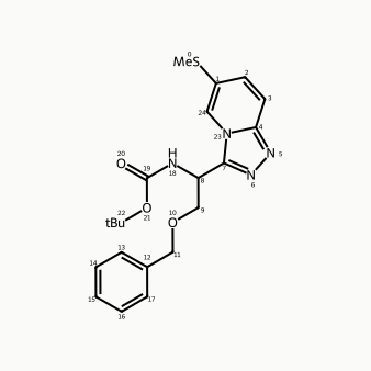 CSc1ccc2nnc(C(COCc3ccccc3)NC(=O)OC(C)(C)C)n2c1